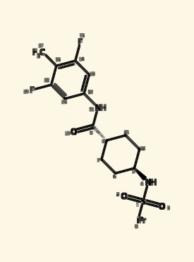 CC(C)S(=O)(=O)N[C@H]1CC[C@H](C(=O)Nc2cc(F)c(C(F)(F)F)c(F)c2)CC1